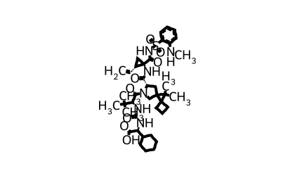 C=C[C@@H]1C[C@]1(NC(=O)[C@@H]1CC2(CN1C(=O)[C@@H](NC(=O)N[C@H](C(=O)O)C1CCCCC1)C(C)(C)C)C(C)(C)C21CCC1)C(=O)NS(=O)(=O)c1ccccc1NC